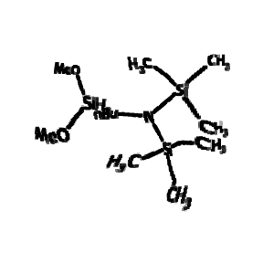 CCCCN([Si](C)(C)C)[Si](C)(C)C.CO[SiH2]OC